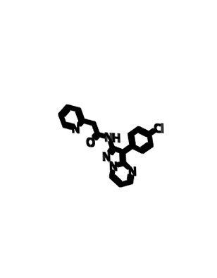 O=C(Cc1ccccn1)Nc1nn2cccnc2c1-c1ccc(Cl)cc1